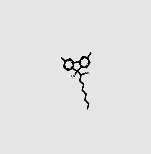 CCCCCCCC(N)C1(N)c2ccc(C)cc2-c2cc(C)ccc21